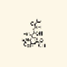 CCC(C)C(=O)NC[C@H](O)[C@H](O)C1OC(C(=O)O)=CC(O)[C@H]1NC(C)=O